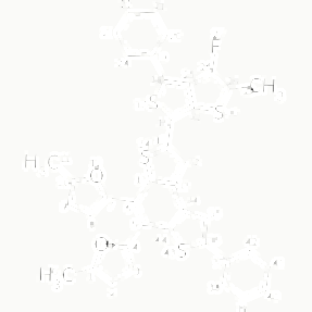 Cc1ccc(-c2c(-c3ccc(C)o3)c3sc(-c4sc(-c5ccccc5)c5c(F)c(C)sc45)cc3c3cc(-c4ccccc4)sc23)o1